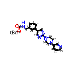 CC(C)(C)OC(=O)NCc1cccc(-c2cnc(N3CCN(c4cccnc4)CC3)nc2)c1